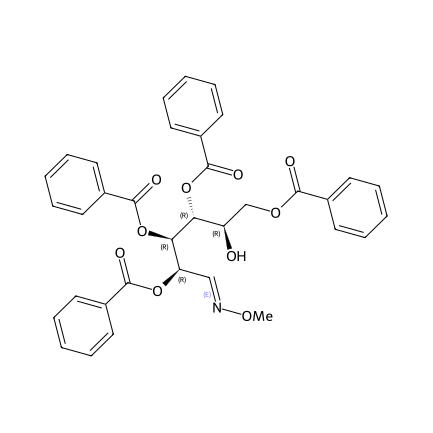 CO/N=C/[C@@H](OC(=O)c1ccccc1)[C@@H](OC(=O)c1ccccc1)[C@H](OC(=O)c1ccccc1)[C@H](O)COC(=O)c1ccccc1